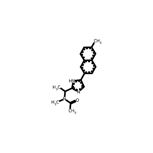 CC(=O)N(C)C(C)c1ncc(-c2ccc3cc(C)ccc3c2)[nH]1